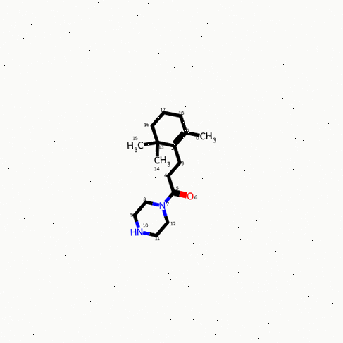 CC1=C(CCC(=O)N2CCNCC2)C(C)(C)CCC1